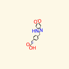 O=C(O)/C=C/c1ccc(Cc2nc3cc4c(cc3[nH]2)OCO4)cc1